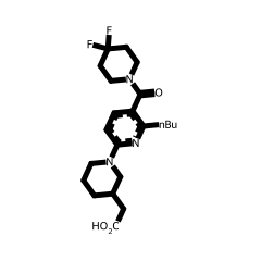 CCCCc1nc(N2CCCC(CC(=O)O)C2)ccc1C(=O)N1CCC(F)(F)CC1